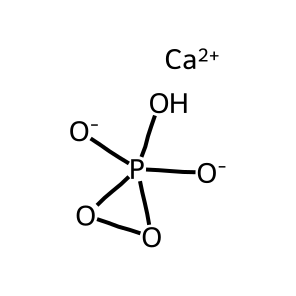 [Ca+2].[O-]P1([O-])(O)OO1